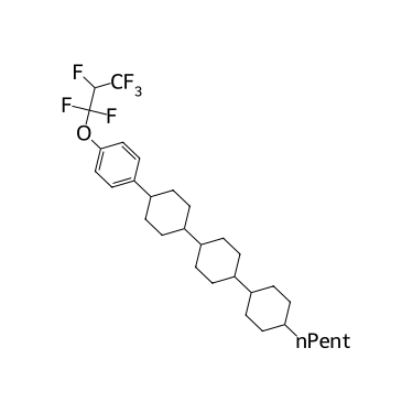 CCCCCC1CCC(C2CCC(C3CCC(c4ccc(OC(F)(F)C(F)C(F)(F)F)cc4)CC3)CC2)CC1